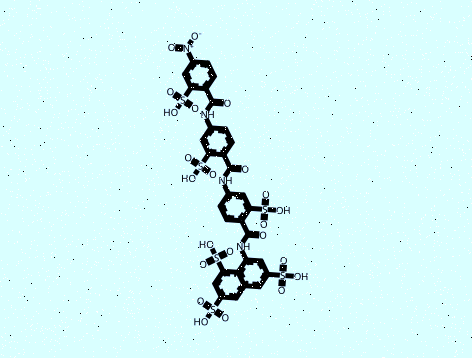 O=C(Nc1ccc(C(=O)Nc2cc(S(=O)(=O)O)cc3cc(S(=O)(=O)O)cc(S(=O)(=O)O)c23)c(S(=O)(=O)O)c1)c1ccc(NC(=O)c2ccc([N+](=O)[O-])cc2S(=O)(=O)O)cc1S(=O)(=O)O